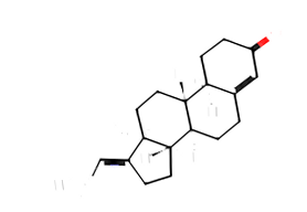 C[C@]12CC[C@H]3[C@@H](CCC4=CC(=O)CC[C@@H]43)[C@@H]1CC/C2=C\C(=O)O